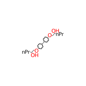 CCCC(O)COc1ccc(-c2ccc(OCC(O)CCC)cc2)cc1